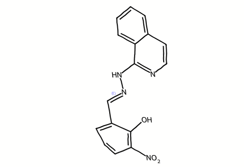 O=[N+]([O-])c1cccc(/C=N/Nc2nccc3ccccc23)c1O